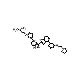 CN(C)CCOc1cncc(-c2ccc3[nH]nc(-c4cc5c(-c6cc(F)cc(OCCN7CCCC7)c6)ccnc5[nH]4)c3n2)c1